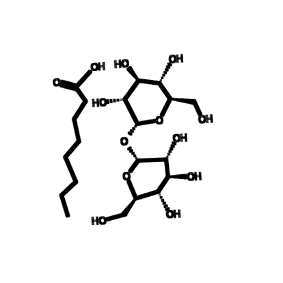 CCCCCCCC(=O)O.OC[C@H]1O[C@H](O[C@H]2O[C@H](CO)[C@@H](O)[C@H](O)[C@H]2O)[C@H](O)[C@@H](O)[C@@H]1O